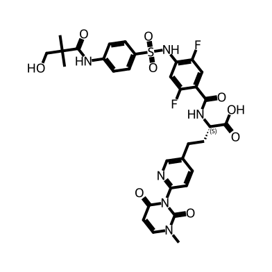 Cn1ccc(=O)n(-c2ccc(CC[C@H](NC(=O)c3cc(F)c(NS(=O)(=O)c4ccc(NC(=O)C(C)(C)CO)cc4)cc3F)C(=O)O)cn2)c1=O